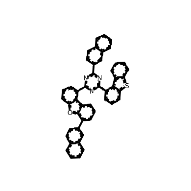 c1ccc2cc(-c3nc(-c4cccc5oc6c(-c7ccc8ccccc8c7)cccc6c45)nc(-c4cccc5sc6ccccc6c45)n3)ccc2c1